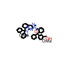 CCCC(OC(c1ccccc1)(c1ccccc1)c1ccc(OC)c(CO)c1)n1cnc2cnc(NC(c3ccccc3)(c3ccccc3)c3ccccc3OC)nc21